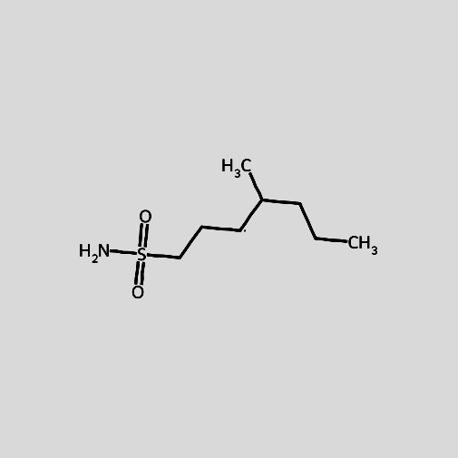 CCCC(C)[CH]CCS(N)(=O)=O